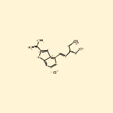 CCC(/C=C/c1cccc2sc(C(=N)N)cc12)CC.Cl